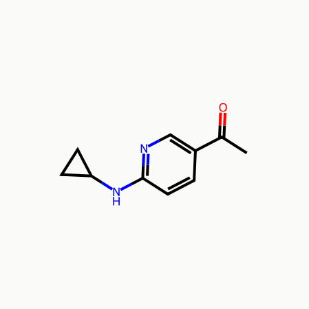 CC(=O)c1ccc(NC2CC2)nc1